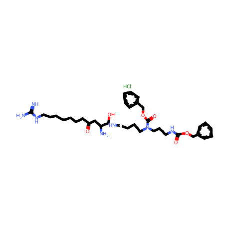 Cl.N=C(N)NCCCCCCCC(=O)CC(N)C(O)NCCCCN(CCCNC(=O)OCc1ccccc1)C(=O)OCc1ccccc1